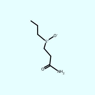 CCC[S+]([O-])CCC(N)=O